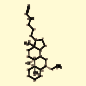 CC[C@H]1CC2C3CCC(CCCNC=O)C3(C)CC[C@@H]2C2(C)CCCCC12